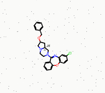 Clc1ccc2c(c1)N=C(N1CCN3CC(OCc4ccccc4)C[C@H]3C1)c1ccccc1O2